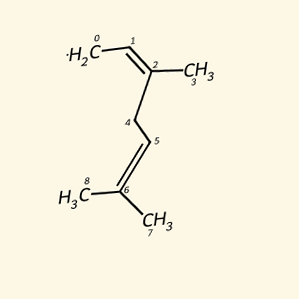 [CH2]C=C(C)CC=C(C)C